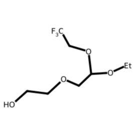 CCOC(COCCO)OCC(F)(F)F